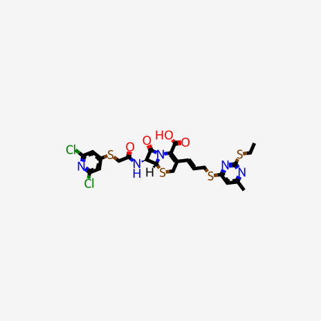 CCSc1nc(C)cc(SCC=CC2=C(C(=O)O)N3C(=O)[C@@H](NC(=O)CSc4cc(Cl)nc(Cl)c4)[C@H]3SC2)n1